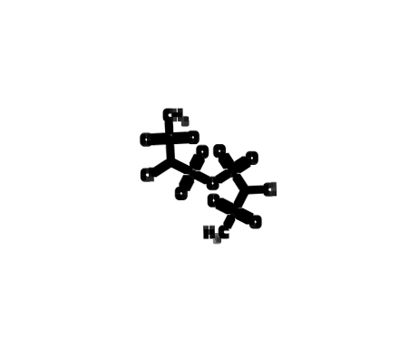 CS(=O)(=O)C(Cl)S(=O)(=O)OS(=O)(=O)C(Cl)S(C)(=O)=O